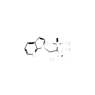 O=P(O)(O)C(Cn1ccc2cccnc21)P(=O)(O)O